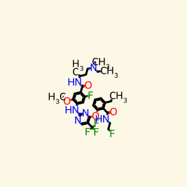 CCc1cccc(Oc2nc(Nc3cc(F)c(C(=O)NC(C)CCN(C)CC)cc3OC)ncc2C(F)(F)F)c1C(=O)NCCF